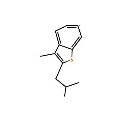 Cc1c(CC(C)C)sc2c[c]ccc12